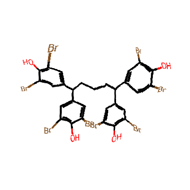 Oc1c(Br)cc(C(CCCC(c2cc(Br)c(O)c(Br)c2)c2cc(Br)c(O)c(Br)c2)c2cc(Br)c(O)c(Br)c2)cc1Br